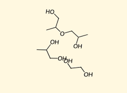 CC(O)CO.CC(O)COC(C)CO.OCCO